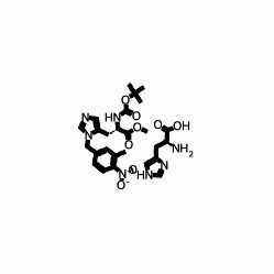 COC(=O)[C@H](Cc1cncn1Cc1ccc([N+](=O)[O-])c(C)c1)NC(=O)OC(C)(C)C.N[C@@H](Cc1c[nH]cn1)C(=O)O